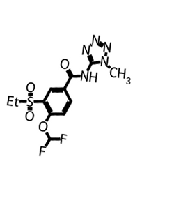 CCS(=O)(=O)c1cc(C(=O)Nc2nnnn2C)ccc1OC(F)F